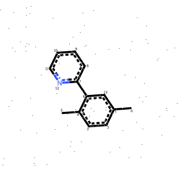 Cc1ccc(C)c(-c2ccc[c]n2)c1